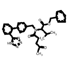 CC(=O)CCC(=O)N(Cc1ccc(-c2ccccc2-c2nnn[nH]2)cc1)C(C(=O)OCc1ccccc1)C(C)C